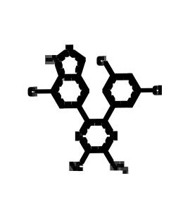 N#Cc1nc(-c2cc(Cl)c3[nH]ncc3c2)c(-c2cc(Cl)cc(Cl)c2)nc1N